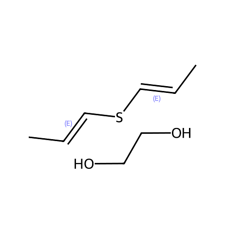 C/C=C/S/C=C/C.OCCO